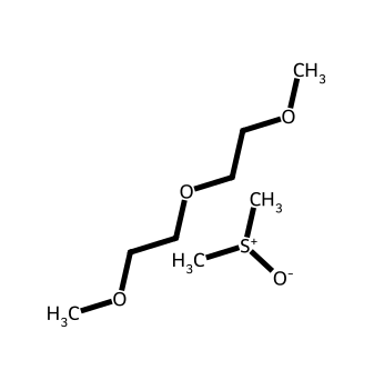 COCCOCCOC.C[S+](C)[O-]